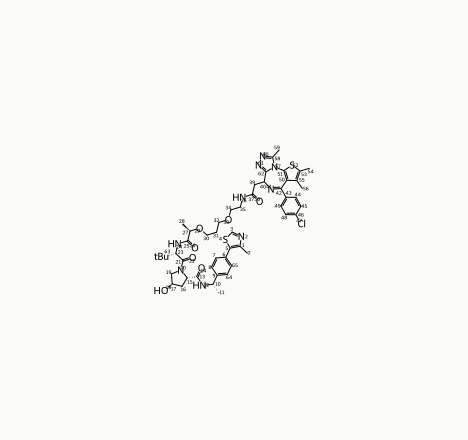 Cc1ncsc1-c1ccc([C@H](C)NC(=O)[C@@H]2C[C@@H](O)CN2C(=O)[C@@H](NC(=O)[C@@H](C)OCCCOCCNC(=O)CC2N=C(c3ccc(Cl)cc3)c3c(sc(C)c3C)-n3c(C)nnc32)C(C)(C)C)cc1